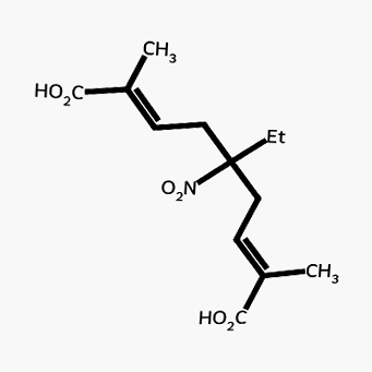 CCC(CC=C(C)C(=O)O)(CC=C(C)C(=O)O)[N+](=O)[O-]